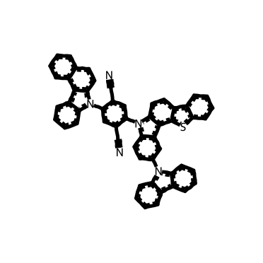 N#Cc1cc(-n2c3ccc(-n4c5ccccc5c5ccccc54)cc3c3c4sc5ccccc5c4ccc32)c(C#N)cc1-n1c2ccccc2c2c3ccccc3ccc21